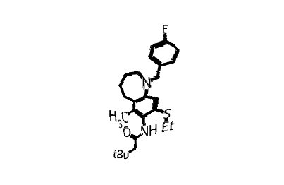 CCSc1cc2c(c(C)c1NC(=O)CC(C)(C)C)CCCCN2Cc1ccc(F)cc1